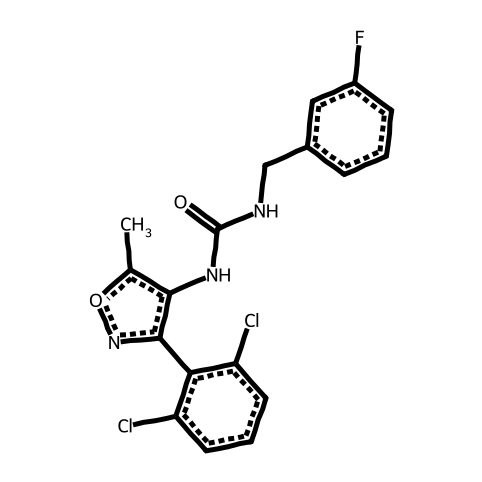 Cc1onc(-c2c(Cl)cccc2Cl)c1NC(=O)NCc1cccc(F)c1